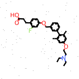 CCN(CC)CCOc1cc(C)c(-c2cccc(COc3ccc(CCC(=O)O)c(F)c3)c2)c(C)c1